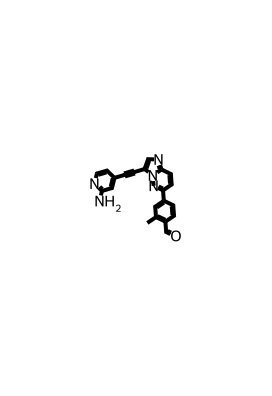 Cc1cc(-c2ccc3ncc(C#Cc4ccnc(N)c4)n3n2)ccc1C=O